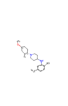 CCCO[C@H]1CC[C@H](N2CCC(Nc3cc(C)ccc3N=O)CC2)[C@@H](CC)C1